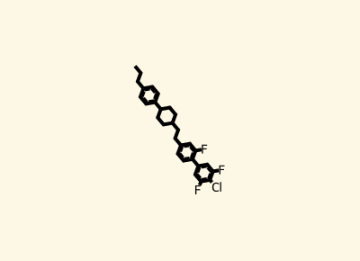 CCCc1ccc(C2CCC(CCc3ccc(-c4cc(F)c(Cl)c(F)c4)c(F)c3)CC2)cc1